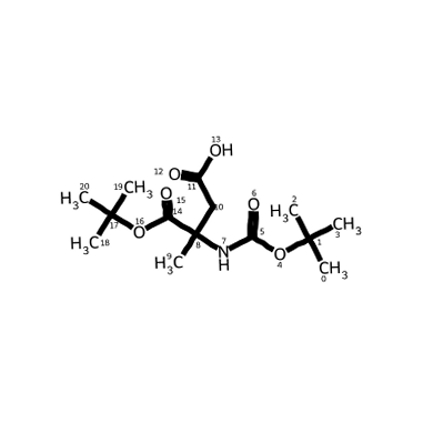 CC(C)(C)OC(=O)NC(C)(CC(=O)O)C(=O)OC(C)(C)C